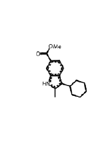 COC(=O)c1ccc2c(C3CCCCC3)c(C)[nH]c2c1